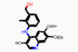 COc1cc2ncc(C#N)c(Nc3cccc(CO)c3C)c2cc1OC